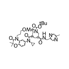 COCCCN1C(=O)C(C)(C)Oc2ccc(N(C(=O)[C@@H]3C[C@H](C(=O)NCc4cnc(C)cn4)CN(C(=O)OC(C)(C)C)C3)C3CC3)cc21